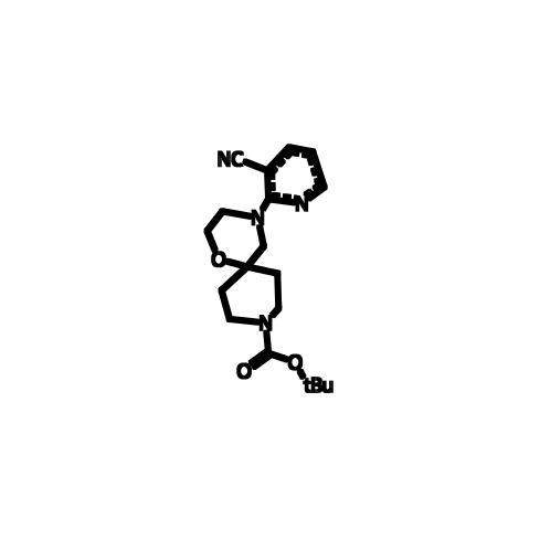 CC(C)(C)OC(=O)N1CCC2(CC1)CN(c1ncccc1C#N)CCO2